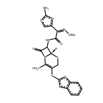 CO/N=C(\C(=O)NC1C(=O)N2C(C(=O)O)=C(Sc3nc4ccccc4s3)CS[C@@H]12)c1csc(N)n1